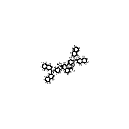 C[Si]1(C)c2cc(N(c3ccc4ccccc4c3)c3ccc4ccccc4c3)ccc2-c2c1cc1c3c(cccc23)[Si](C)(C)c2cc(N(c3ccc4ccccc4c3)c3ccc4ccccc4c3)ccc2-1